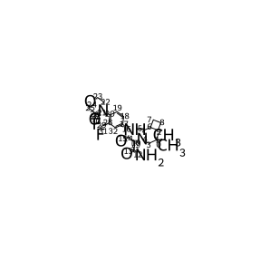 CC(C)CN(CC1CCC1)[C@H](C(N)=O)C(=O)Nc1ccc(N2CCOCC2=O)c(C(F)F)c1